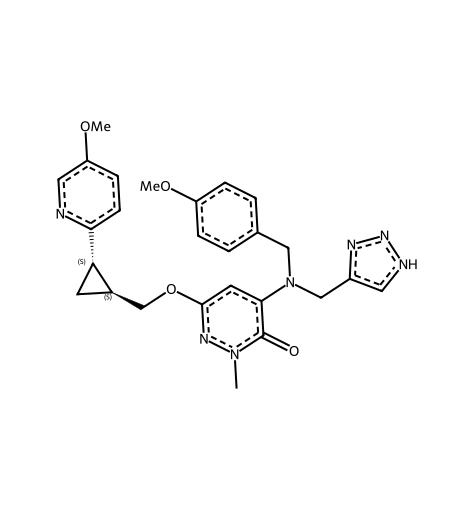 COc1ccc(CN(Cc2c[nH]nn2)c2cc(OC[C@H]3C[C@@H]3c3ccc(OC)cn3)nn(C)c2=O)cc1